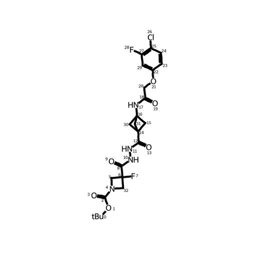 CC(C)(C)OC(=O)N1CC(F)(C(=O)NNC(=O)C23CC(NC(=O)COc4ccc(Cl)c(F)c4)(C2)C3)C1